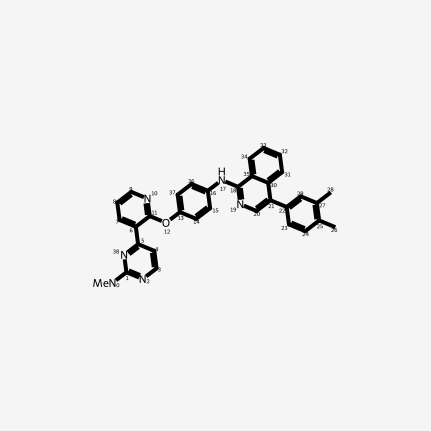 CNc1nccc(-c2cccnc2Oc2ccc(Nc3ncc(-c4ccc(C)c(C)c4)c4ccccc34)cc2)n1